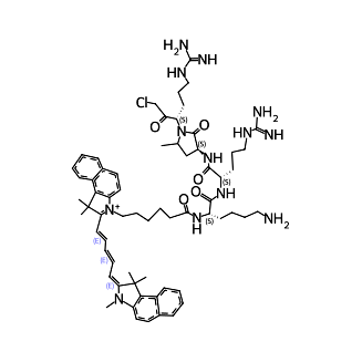 CC1C[C@H](NC(=O)[C@H](CCCNC(=N)N)NC(=O)[C@H](CCCCN)NC(=O)CCCCC[N+]2=C(/C=C/C=C/C=C3/N(C)c4ccc5ccccc5c4C3(C)C)C(C)(C)c3c2ccc2ccccc32)C(=O)N1[C@@H](CCCNC(=N)N)C(=O)CCl